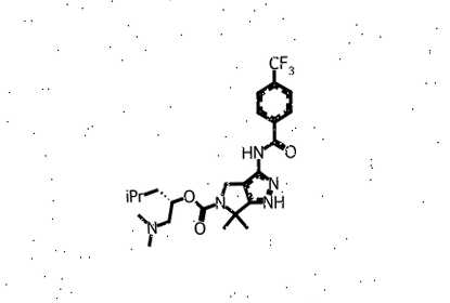 CC(C)C[C@@H](CN(C)C)OC(=O)N1Cc2c(NC(=O)c3ccc(C(F)(F)F)cc3)n[nH]c2C1(C)C